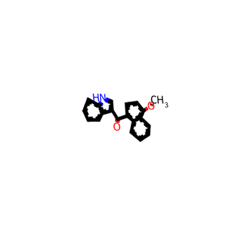 COc1ccc(C(=O)c2c[nH]c3ccccc23)c2ccccc12